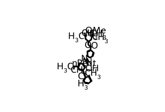 CCCCCC(C)(C)c1cc(-n2nc3ccc(C(=O)OC4CC(C)(C)N(OC)C(C)(C)C4)cc3n2)c(O)c(C(C)(C)c2ccccc2)c1